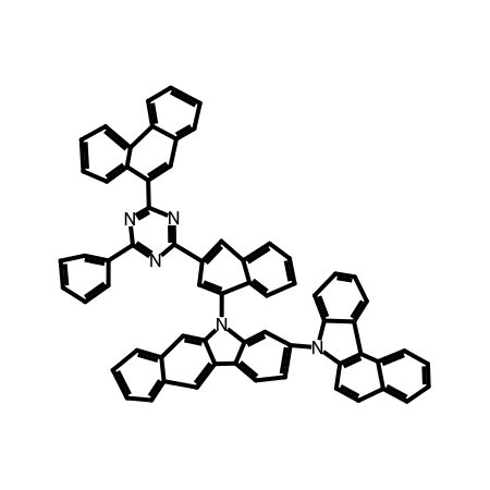 c1ccc(-c2nc(-c3cc(-n4c5cc(-n6c7ccccc7c7c8ccccc8ccc76)ccc5c5cc6ccccc6cc54)c4ccccc4c3)nc(-c3cc4ccccc4c4ccccc34)n2)cc1